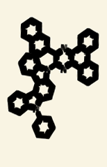 c1ccc(-n2c3ccccc3c3c4c5ccccc5n(-c5nc6c7ccccc7c7ccccc7c6nc5-c5ccc6ccccc6c5)c4ccc32)cc1